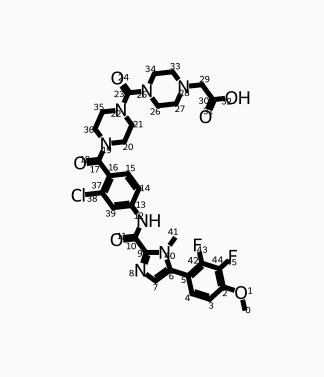 COc1ccc(-c2cnc(C(=O)Nc3ccc(C(=O)N4CCN(C(=O)N5CCN(CC(=O)O)CC5)CC4)c(Cl)c3)n2C)c(F)c1F